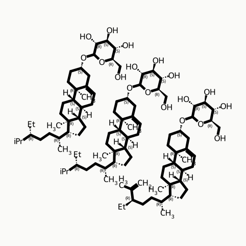 C=C(C)[C@H](CC)CC[C@@H](C)[C@H]1CC[C@H]2[C@@H]3CC=C4C[C@@H](OC5O[C@H](CO)[C@@H](O)[C@H](O)[C@H]5O)CC[C@]4(C)[C@H]3CC[C@]12C.CC[C@H](CC[C@@H](C)[C@H]1CC[C@H]2[C@@H]3CC=C4C[C@@H](OC5O[C@H](CO)[C@@H](O)[C@H](O)[C@H]5O)CC[C@]4(C)[C@H]3CC[C@]12C)C(C)C.CC[C@H](CC[C@@H](C)[C@H]1CC[C@H]2[C@@H]3CC=C4C[C@@H](OC5O[C@H](CO)[C@@H](O)[C@H](O)[C@H]5O)CC[C@]4(C)[C@H]3CC[C@]12C)C(C)C